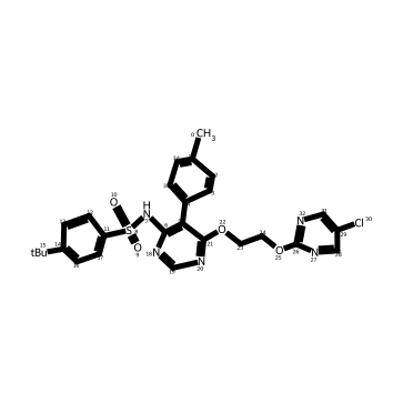 Cc1ccc(-c2c(NS(=O)(=O)c3ccc(C(C)(C)C)cc3)ncnc2OCCOc2ncc(Cl)cn2)cc1